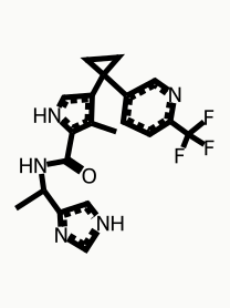 Cc1c(C2(c3ccc(C(F)(F)F)nc3)CC2)c[nH]c1C(=O)NC(C)c1c[nH]cn1